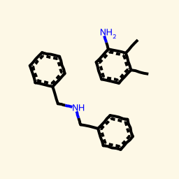 Cc1cccc(N)c1C.c1ccc(CNCc2ccccc2)cc1